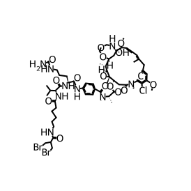 COc1cc2cc(c1Cl)N(C)C(=O)C[C@H](OC(=O)[C@H](C)N(C)C(=O)c1ccc(NC(=O)[C@H](CCCNC(N)=O)NC(=O)[C@@H](NC(=O)CCCCCNC(=O)C(CBr)CBr)C(C)C)cc1)[C@]1(C)O[C@H]1[C@H](C)[C@@H]1C[C@@](O)(NCOCO1)[C@H](OC)/C=C/C=C(\C)C2